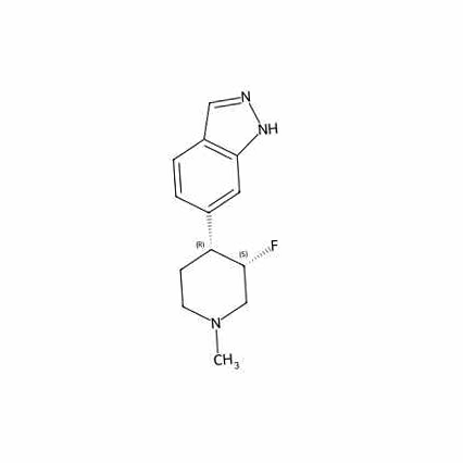 CN1CC[C@H](c2ccc3cn[nH]c3c2)[C@H](F)C1